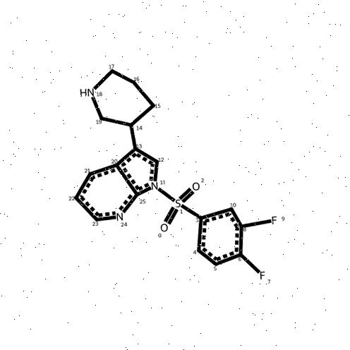 O=S(=O)(c1ccc(F)c(F)c1)n1cc(C2CCCNC2)c2cccnc21